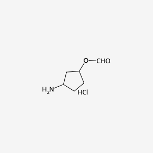 Cl.NC1CCC(OC=O)C1